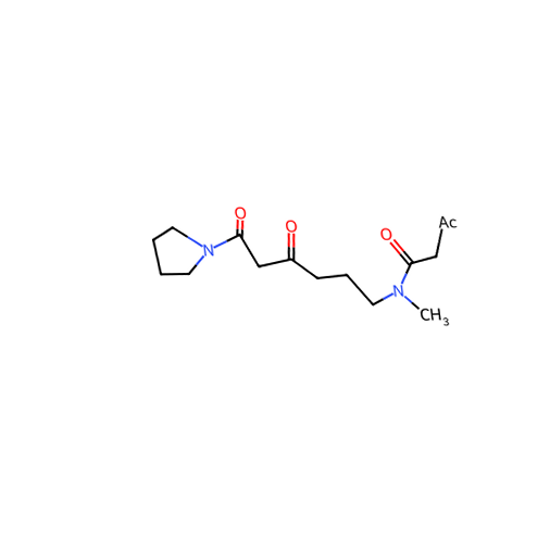 CC(=O)CC(=O)N(C)CCCC(=O)CC(=O)N1CCCC1